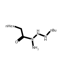 CCCCCCCC(=O)N(N)NNCCCC